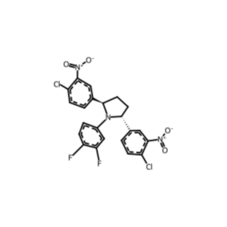 O=[N+]([O-])c1cc([C@H]2CC[C@H](c3ccc(Cl)c([N+](=O)[O-])c3)N2c2ccc(F)c(F)c2)ccc1Cl